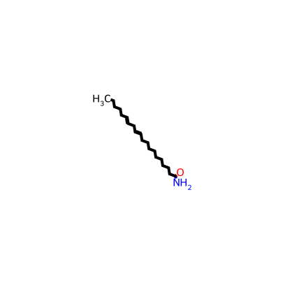 CCCCCC=CCC=CCCCCCCCCCC(N)=O